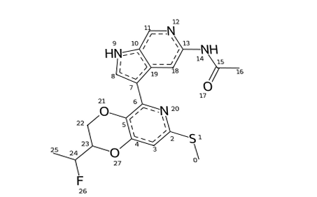 CSc1cc2c(c(-c3c[nH]c4cnc(NC(C)=O)cc34)n1)OCC(C(C)F)O2